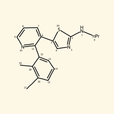 CCCNc1ncc(-c2cccnc2-c2cccc(C)c2C)s1